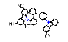 N#Cc1ccc2c(c1)c1ccccc1n2C1=CC=C(c2ccccc2-c2cccc(C#N)c2-n2c3ccc(C#N)cc3c3cc(C#N)ccc32)C=CC1